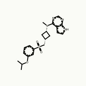 CC(C)Oc1cccc(S(=O)(=O)C[C@H]2C[C@@H](N(C)c3ncnc4[nH]ccc34)C2)c1